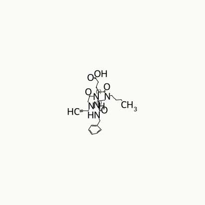 C#CCN1CC(=O)N2[C@@H](CCC(=O)O)C(=O)N(CCCC)C[C@@H]2N1C(=O)NCc1ccccc1